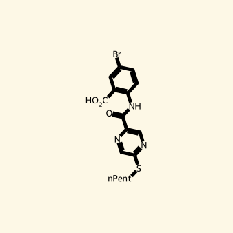 CCCCCSc1cnc(C(=O)Nc2ccc(Br)cc2C(=O)O)cn1